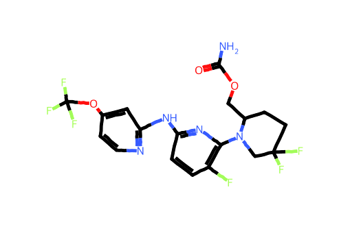 NC(=O)OCC1CCC(F)(F)CN1c1nc(Nc2cc(OC(F)(F)F)ccn2)ccc1F